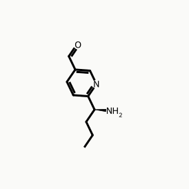 CCC[C@H](N)c1ccc(C=O)cn1